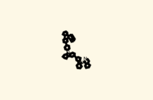 c1ccc2c(c1)-c1ccc(-c3ccc(-n4c5ccccc5c5cc(-c6ccc7c(c6)c6ccccc6n7-c6nccc7ccccc67)ccc54)cc3)cc1C21C2CC3CC(C2)CC1C3